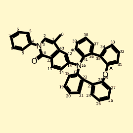 Cc1cn(-c2ccccc2)c(=O)c2ccc(N3c4ccccc4-c4ccccc4Oc4ccccc4-c4ccccc43)cc12